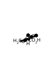 C=CCOc1ccc(C(=O)NC(Cc2ccc(OCc3ccccc3)cc2)C(=O)O)cc1.c1ccccc1